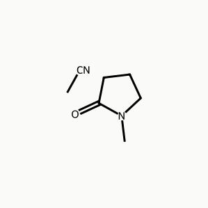 CC#N.CN1CCCC1=O